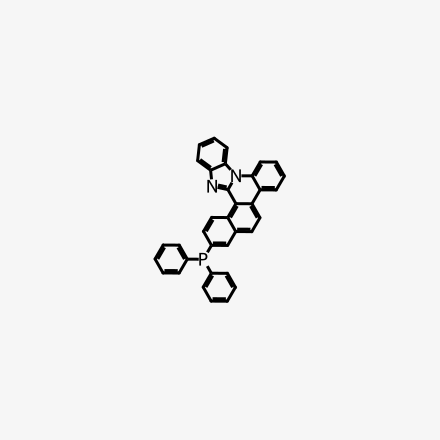 c1ccc(P(c2ccccc2)c2ccc3c(ccc4c5ccccc5n5c6ccccc6nc5c34)c2)cc1